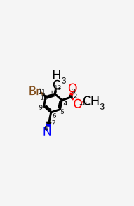 COC(=O)c1cc(C#N)cc(Br)c1C